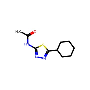 CC(=O)Nc1nnc(C2CCCCC2)s1